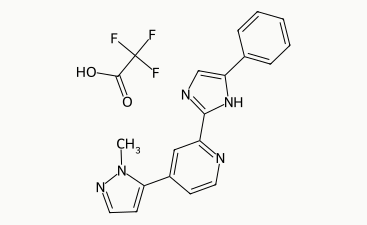 Cn1nccc1-c1ccnc(-c2ncc(-c3ccccc3)[nH]2)c1.O=C(O)C(F)(F)F